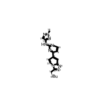 CC[C@H](C)Cc1nnc2cc(-c3ccnc(Nc4cnn(C)n4)n3)ccn12